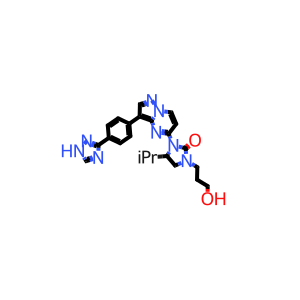 CC(C)C1CN(CCCO)C(=O)N1c1ccn2ncc(-c3ccc(-c4nc[nH]n4)cc3)c2n1